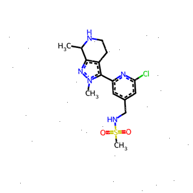 CC1NCCc2c1nn(C)c2-c1cc(CNS(C)(=O)=O)cc(Cl)n1